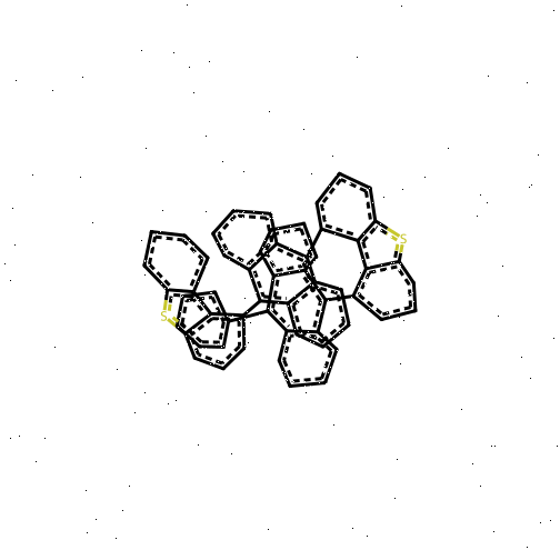 c1ccc(-c2c3ccccc3c(-c3cccc4sc5cccc(-c6c7ccccc7c(-c7cccc8sc9ccccc9c78)c7ccccc67)c5c34)c3ccccc23)cc1